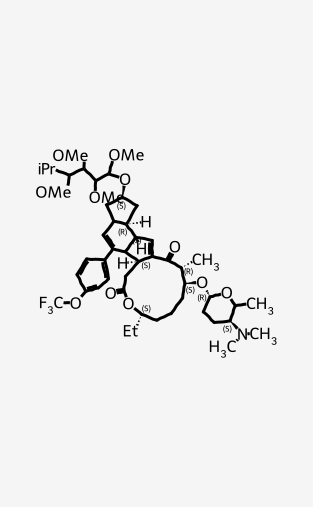 CC[C@H]1CCC[C@H](O[C@H]2CC[C@H](N(C)C)C(C)O2)[C@@H](C)C(=O)C2=C[C@@H]3C(C(c4ccc(OC(F)(F)F)cc4)=CC4C[C@@H](OC(OC)C(OC)C(OC)C(OC)C(C)C)C[C@H]43)[C@@H]2CC(=O)O1